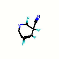 N#CC1(F)C(F)=C(F)C=NC1F